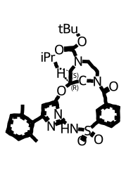 Cc1cccc(C)c1-c1cc2nc(n1)NS(=O)(=O)c1cccc(c1)C(=O)N1CCN(C(=O)OC(C)(C)C)[C@@H](CC(C)C)[C@@H](C1)O2